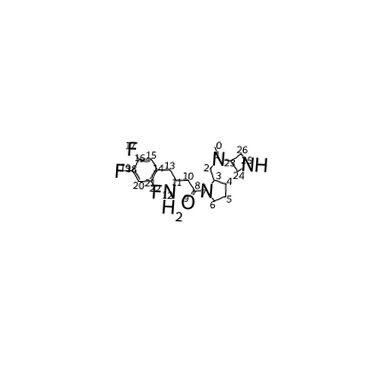 CN(CC1CCCN1C(=O)C[C@H](N)Cc1cc(F)c(F)cc1F)C1CNC1